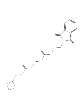 O=C(CSCC(=O)NCC1CCC1)NCCN1C(=O)c2ccccc2C1=O